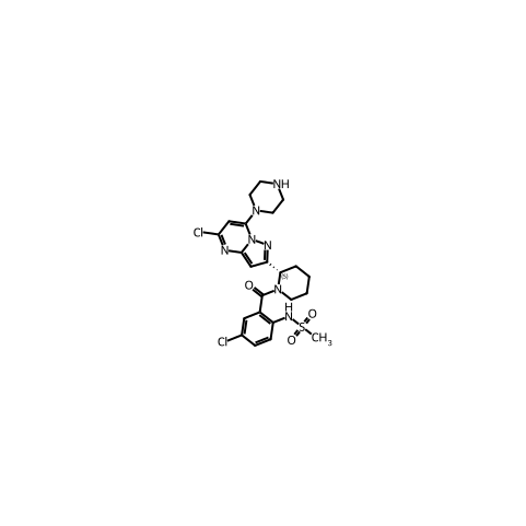 CS(=O)(=O)Nc1ccc(Cl)cc1C(=O)N1CCCC[C@H]1c1cc2nc(Cl)cc(N3CCNCC3)n2n1